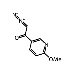 COc1ccc(C(=O)C=[N+]=[N-])cn1